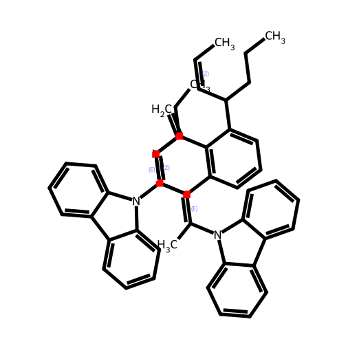 C=C(/N=C(\C=C(/C)n1c2ccccc2c2ccccc21)n1c2ccccc2c2ccccc21)c1c(C/C=C\CCC)cccc1C(/C=C\C)CCC